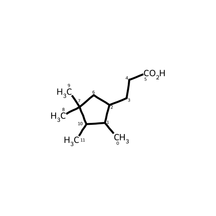 CC1C(CCC(=O)O)CC(C)(C)C1C